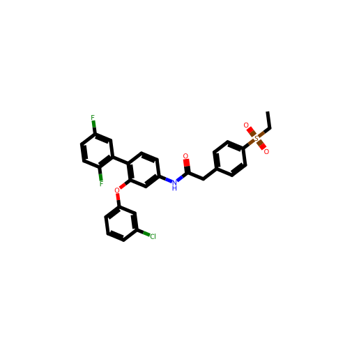 CCS(=O)(=O)c1ccc(CC(=O)Nc2ccc(-c3cc(F)ccc3F)c(Oc3cccc(Cl)c3)c2)cc1